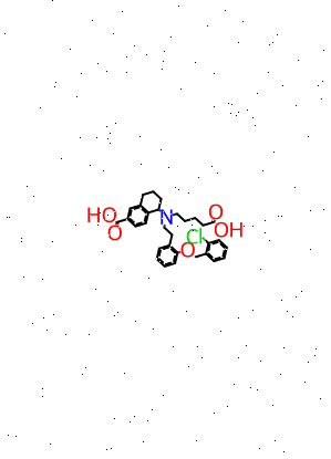 O=C(O)CCCCN(CCc1ccccc1OCc1ccccc1Cl)C1CCCc2cc(C(=O)O)ccc21